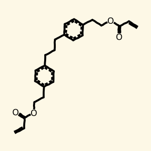 C=CC(=O)OCCc1ccc(CCCc2ccc(CCOC(=O)C=C)cc2)cc1